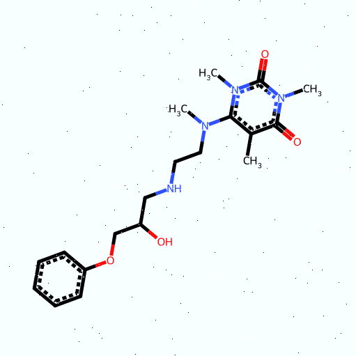 Cc1c(N(C)CCNCC(O)COc2ccccc2)n(C)c(=O)n(C)c1=O